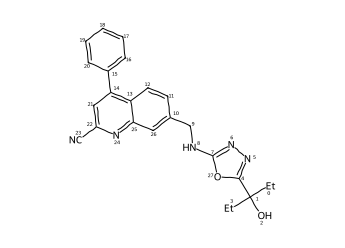 CCC(O)(CC)c1nnc(NCc2ccc3c(-c4ccccc4)cc(C#N)nc3c2)o1